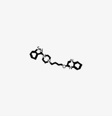 c1ccc2nc(OCCCCN3CCN(c4nsc5ccccc45)CC3)cnc2c1